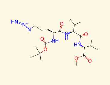 COC(=O)[C@@H](NC(=O)[C@@H](NC(=O)[C@H](CCCN=[N+]=N)NC(=O)OC(C)(C)C)C(C)C)C(C)C